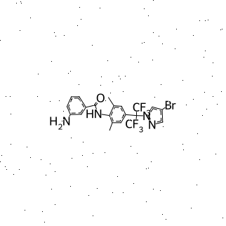 Cc1cc(C(n2cc(Br)cn2)(C(F)(F)F)C(F)(F)F)cc(C)c1NC(=O)c1cccc(N)c1